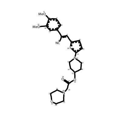 COc1ccc(C(C#N)=Cc2ccc(N3CCC(OC(=O)CN4CCOCC4)CC3)s2)cc1OC